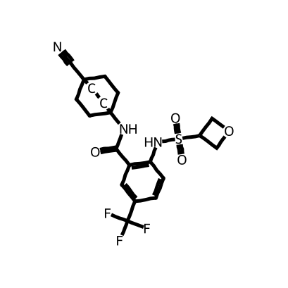 N#CC12CCC(NC(=O)c3cc(C(F)(F)F)ccc3NS(=O)(=O)C3COC3)(CC1)CC2